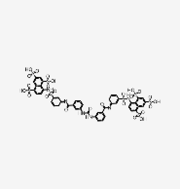 O=C(Nc1cccc(C(=O)N=C2C=C(S(=O)(=O)Nc3ccc(S(=O)(=O)O)c4cc(S(=O)(=O)O)cc(S(=O)(=O)O)c34)C=CC2)c1)Nc1cccc(C(=O)N=C2C=C(S(=O)(=O)Nc3ccc(S(=O)(=O)O)c4cc(S(=O)(=O)O)cc(S(=O)(=O)O)c34)C=CC2)c1